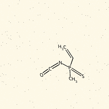 C=CP(C)(=S)N=C=O